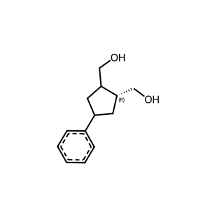 OCC1CC(c2ccccc2)C[C@H]1CO